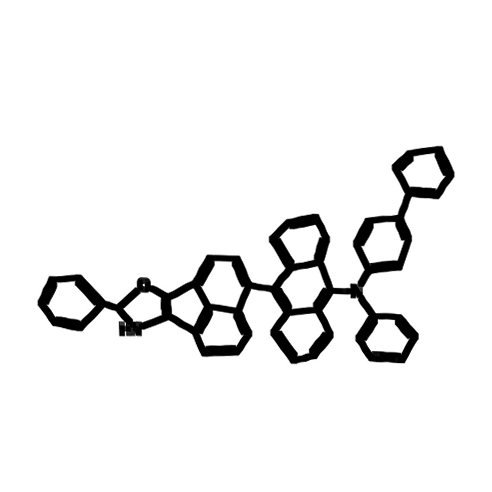 c1ccc(-c2ccc(N(c3ccccc3)c3c4ccccc4c(-c4ccc5c6c(cccc46)C4=C5OC(c5ccccc5)N4)c4ccccc34)cc2)cc1